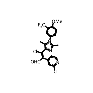 COc1ccc(-n2c(C)nc(C(Cl)=C(C=O)c3ccnc(Cl)c3)c2C)cc1C(F)(F)F